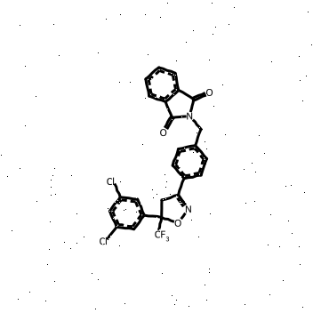 O=C1c2ccccc2C(=O)N1Cc1ccc(C2=NOC(c3cc(Cl)cc(Cl)c3)(C(F)(F)F)C2)cc1